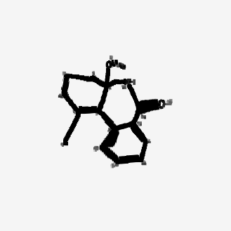 COC12[C][C][C]C(C)=C1c1ccccc1C(=O)N2